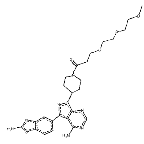 COCCOCCOCCC(=O)N1CCC(n2nc(-c3ccc4oc(N)nc4c3)c3c(N)ncnc32)CC1